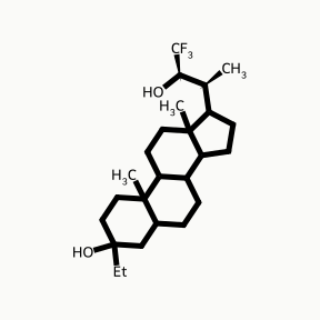 CCC1(O)CCC2(C)C(CCC3C2CCC2(C)C3CCC2[C@H](C)[C@@H](O)C(F)(F)F)C1